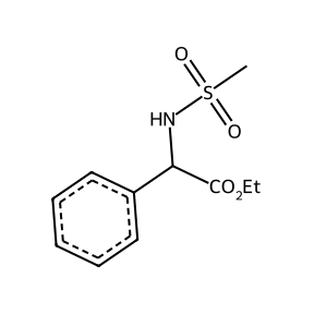 CCOC(=O)C(NS(C)(=O)=O)c1ccccc1